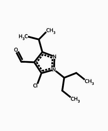 CCC(CC)n1nc(C(C)C)c(C=O)c1Cl